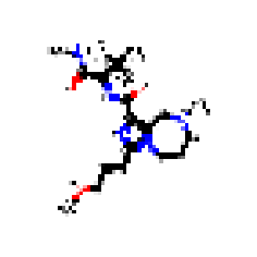 CNC(=O)/C(=N/C(=O)c1nc(/C=C/COC)n2c1CN(C)CCC2)C(C)(C)C